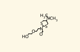 CN(C)C1CSC(N(C=O)CCOCCO)SC1